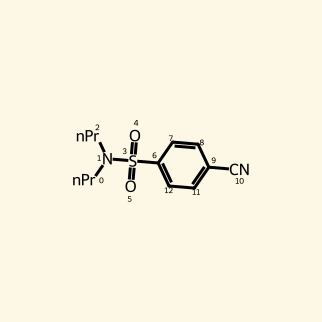 CCCN(CCC)S(=O)(=O)c1ccc(C#N)cc1